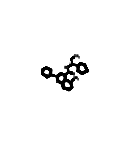 CC[C@H](NC(=O)c1cc(-c2ccccc2)nc2cccc(C)c12)c1ccccc1